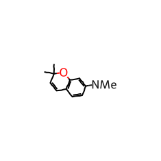 CNc1ccc2c(c1)OC(C)(C)C=C2